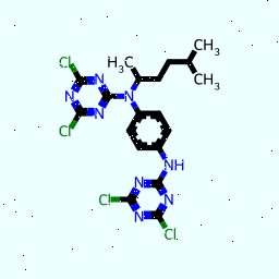 CC(C)CCC(C)N(c1ccc(Nc2nc(Cl)nc(Cl)n2)cc1)c1nc(Cl)nc(Cl)n1